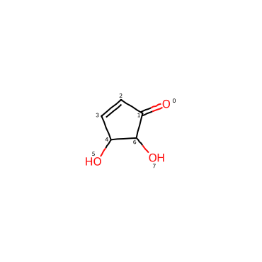 O=C1C=CC(O)C1O